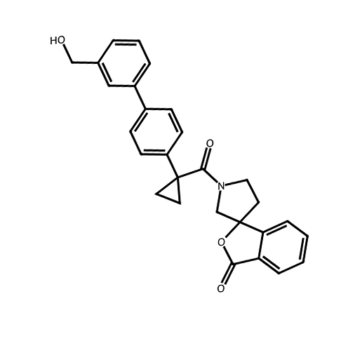 O=C1OC2(CCN(C(=O)C3(c4ccc(-c5cccc(CO)c5)cc4)CC3)C2)c2ccccc21